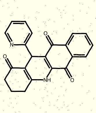 O=C1CCCC2=C1C(c1ccccn1)C1=C(N2)C(=O)c2ccccc2C1=O